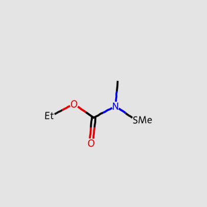 CCOC(=O)N(C)SC